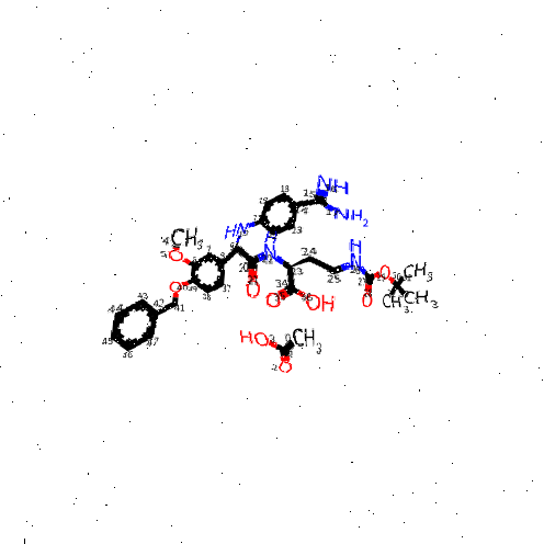 CC(=O)O.COc1cc([C@@H](Nc2ccc(C(=N)N)cc2)C(=O)N[C@@H](CCNC(=O)OC(C)(C)C)C(=O)O)ccc1OCc1ccccc1